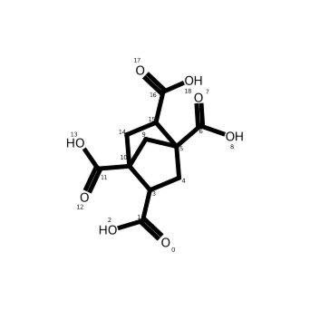 O=C(O)C1CC2(C(=O)O)CC1(C(=O)O)CC2C(=O)O